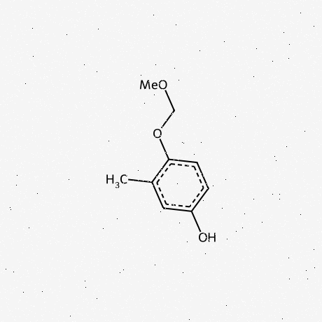 COCOc1ccc(O)cc1C